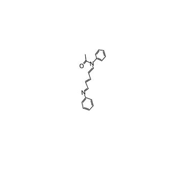 CC(=O)N(/C=C/C=C/C=N/c1ccccc1)c1ccccc1